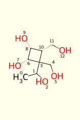 CC(O)C1(CO)[C@H](O)[C@H](O)[C@@H]1CO